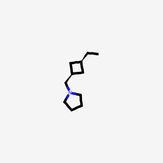 CC[C@H]1C[C@@H](CN2CCCC2)C1